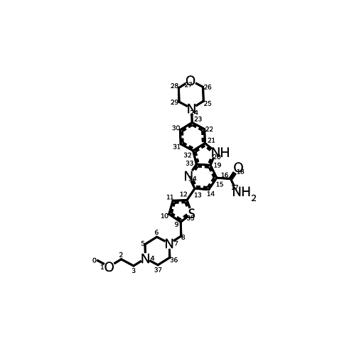 COCCN1CCN(Cc2ccc(-c3cc(C(N)=O)c4[nH]c5cc(N6CCOCC6)ccc5c4n3)s2)CC1